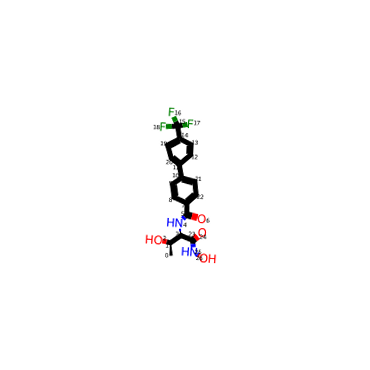 C[C@@H](O)[C@H](NC(=O)c1ccc(-c2ccc(C(F)(F)F)cc2)cc1)C(=O)NO